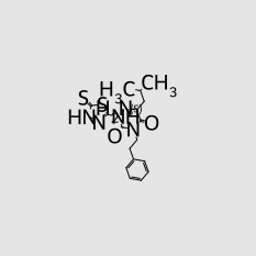 CC(C)C[C@H](N)C(=O)N(CCc1ccccc1)C(=O)Nc1n[nH]c(=S)s1